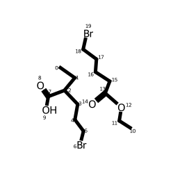 CCC(CCCBr)C(=O)O.CCOC(=O)CCCCBr